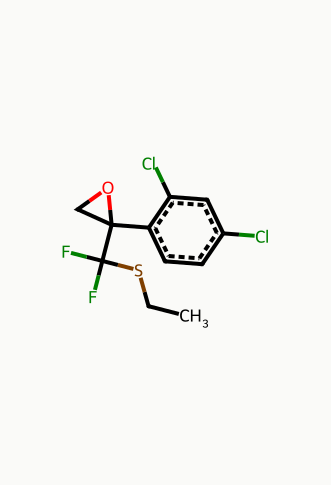 CCSC(F)(F)C1(c2ccc(Cl)cc2Cl)CO1